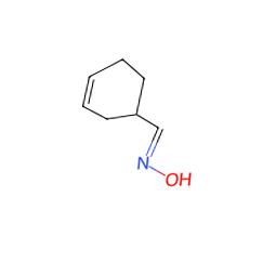 ON=CC1CC=CCC1